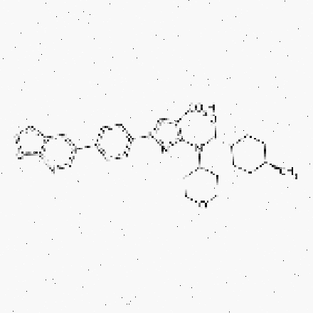 C[C@H]1CC[C@H](C(=O)N(c2nn(-c3ccc(-c4cnc5occc5c4)cc3)cc2C(=O)O)C2CCOCC2)CC1